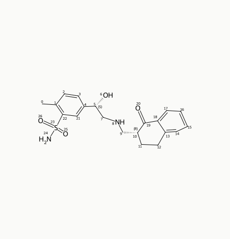 Cc1ccc([C@H](O)CNC[C@H]2CCc3ccccc3C2=O)cc1S(N)(=O)=O